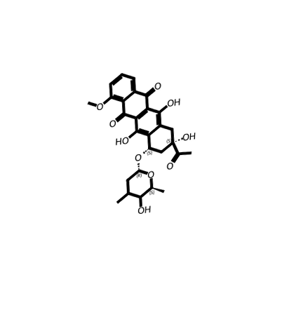 COc1cccc2c1C(=O)c1c(O)c3c(c(O)c1C2=O)C[C@@](O)(C(C)=O)C[C@@H]3O[C@H]1CC(C)C(O)[C@H](C)O1